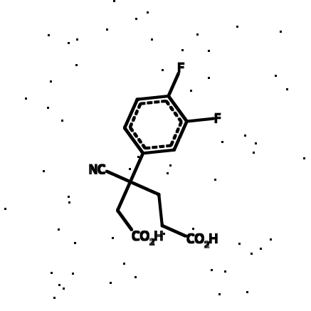 N#CC(CCC(=O)O)(CC(=O)O)c1ccc(F)c(F)c1